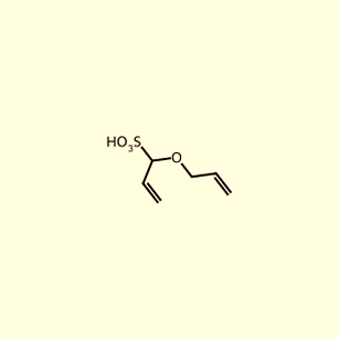 C=CCOC(C=C)S(=O)(=O)O